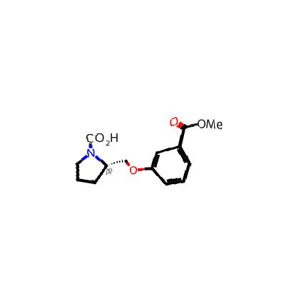 COC(=O)c1cccc(OC[C@@H]2CCCN2C(=O)O)c1